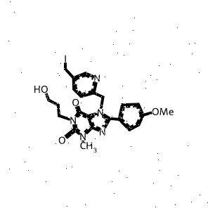 COc1ccc(-c2nc3c(c(=O)n(CCCO)c(=O)n3C)n2Cc2ccc(CI)cn2)cc1